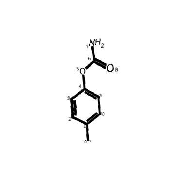 [CH2]c1ccc(OC(N)=O)cc1